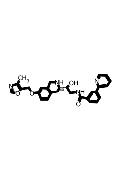 Cc1ncoc1COc1ccc2c(c1)CN[C@H](C(O)CNC(=O)c1cccc(-c3ccccn3)c1)C2